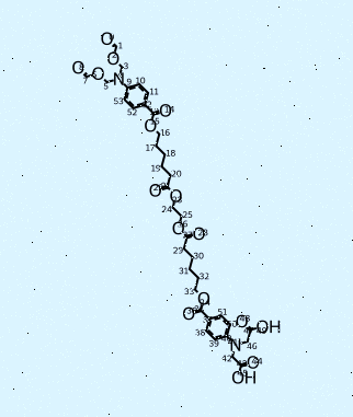 O=COCN(COC=O)c1ccc(C(=O)OCCCCCC(=O)OCCOC(=O)CCCCCOC(=O)c2ccc(N(CC(=O)O)CC(=O)O)cc2)cc1